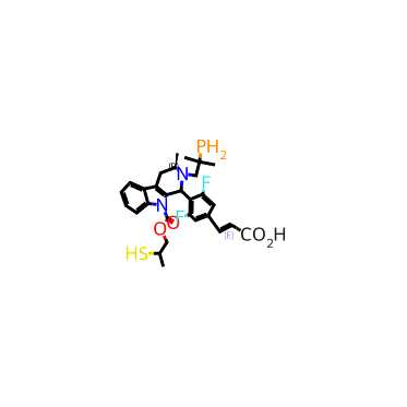 CC(S)COC(=O)n1c2c(c3ccccc31)C[C@@H](C)N(CC(C)(C)P)C2c1c(F)cc(/C=C/C(=O)O)cc1F